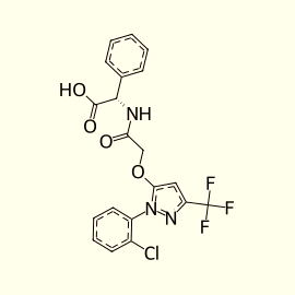 O=C(COc1cc(C(F)(F)F)nn1-c1ccccc1Cl)N[C@H](C(=O)O)c1ccccc1